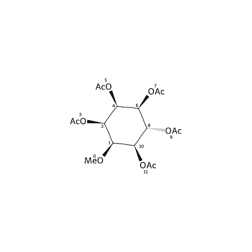 CO[C@H]1[C@@H](OC(C)=O)[C@@H](OC(C)=O)[C@@H](OC(C)=O)[C@H](OC(C)=O)[C@H]1OC(C)=O